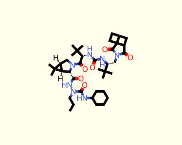 CCCN(NC(=O)[C@@H]1[C@@H]2[C@H](CN1C(=O)[C@@H](NC(=O)N[C@H](CN1C(=O)C3CC4CCC43C1=O)C(C)(C)C)C(C)(C)C)C2(C)C)C(=O)NC1CCCCC1